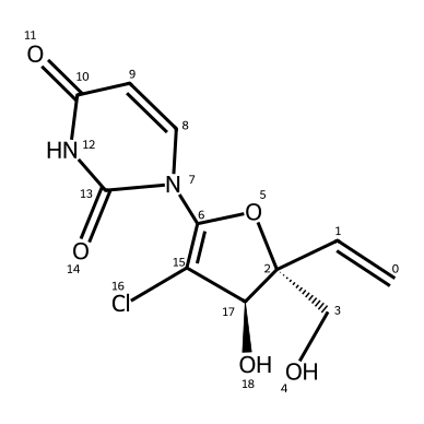 C=C[C@]1(CO)OC(n2ccc(=O)[nH]c2=O)=C(Cl)[C@@H]1O